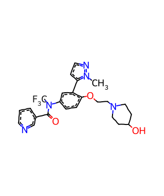 Cn1nccc1-c1cc(N(C(=O)c2cccnc2)C(F)(F)F)ccc1OCCN1CCC(O)CC1